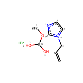 Br.C=CCn1ccnc1.CCCOB(O)O